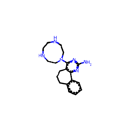 Nc1nc2c(c(N3CCNCCNCC3)n1)CCCc1ccccc1-2